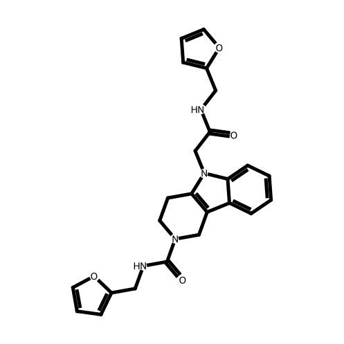 O=C(Cn1c2c(c3ccccc31)CN(C(=O)NCc1ccco1)CC2)NCc1ccco1